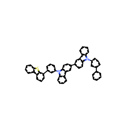 c1ccc(-c2cccc(-n3c4ccccc4c4cc(-c5ccc6c(c5)c5ccccc5n6-c5cccc(-c6cccc7c6sc6ccccc67)c5)ccc43)c2)cc1